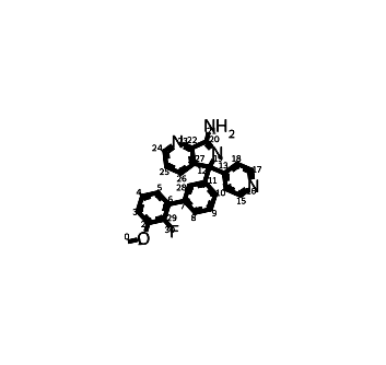 COc1cccc(-c2cccc(C3(c4ccncc4)N=C(N)c4ncccc43)c2)c1F